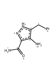 CC(C)Cc1[nH]nc(C(N)=O)c1N